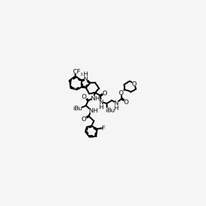 CCC(C)C(CNC(=O)OC1CCOCC1)NC(=O)C1(NC(=O)C(NC(=O)Cc2ccccc2F)C(C)CC)CCc2[nH]c3c(C(F)(F)F)cccc3c2C1